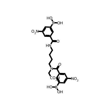 O=C(O)CN(CCCCNC(=O)c1cc(B(O)O)cc([N+](=O)[O-])c1)C(=O)c1cc(B(O)O)cc([N+](=O)[O-])c1